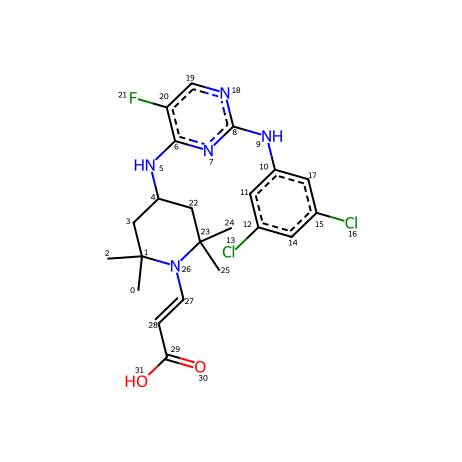 CC1(C)CC(Nc2nc(Nc3cc(Cl)cc(Cl)c3)ncc2F)CC(C)(C)N1C=CC(=O)O